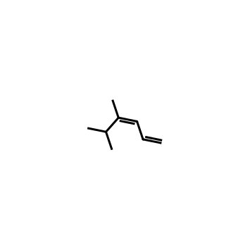 C=CC=C(C)C(C)C